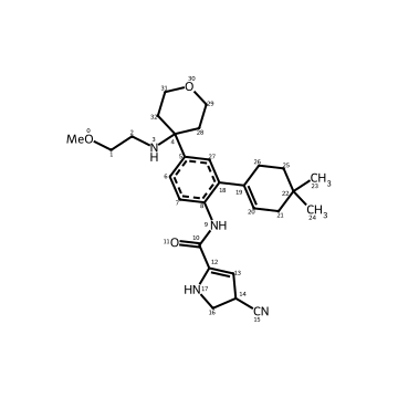 COCCNC1(c2ccc(NC(=O)C3=CC(C#N)CN3)c(C3=CCC(C)(C)CC3)c2)CCOCC1